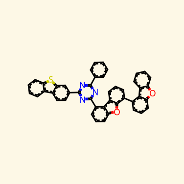 c1ccc(-c2nc(-c3ccc4c(c3)sc3ccccc34)nc(-c3cccc4oc5c(-c6cccc7oc8ccccc8c67)cccc5c34)n2)cc1